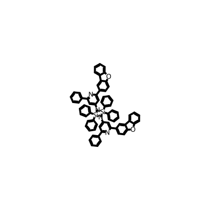 c1ccc(-c2cc(N3[Si](c4ccccc4)(c4ccccc4)N(c4cc(-c5ccccc5)nc(-c5ccc6oc7ccccc7c6c5)c4)[Si]3(c3ccccc3)c3ccccc3)cc(-c3ccc4oc5ccccc5c4c3)n2)cc1